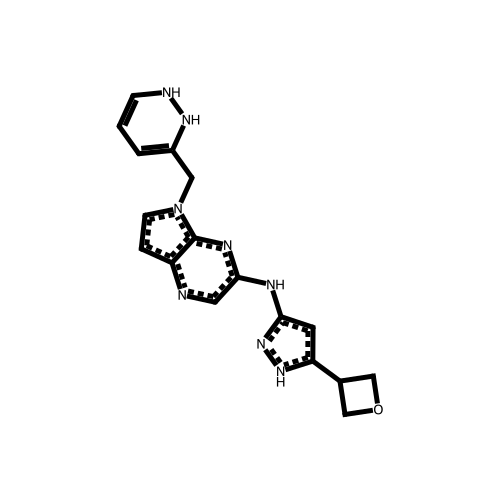 C1=CNNC(Cn2ccc3ncc(Nc4cc(C5COC5)[nH]n4)nc32)=C1